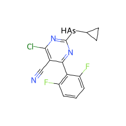 N#Cc1c(Cl)nc([AsH]C2CC2)nc1-c1c(F)cccc1F